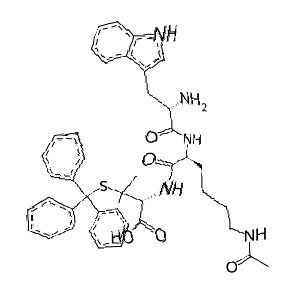 CC(=O)NCCCC[C@H](NC(=O)[C@@H](N)Cc1c[nH]c2ccccc12)C(=O)N[C@H](C(=O)O)C(C)(C)SC(c1ccccc1)(c1ccccc1)c1ccccc1